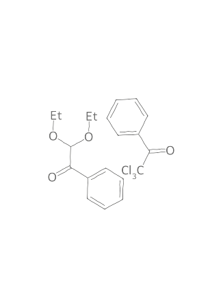 CCOC(OCC)C(=O)c1ccccc1.O=C(c1ccccc1)C(Cl)(Cl)Cl